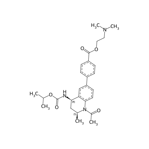 CC(=O)N1c2ccc(-c3ccc(C(=O)OCCN(C)C)cc3)cc2[C@H](NC(=O)OC(C)C)C[C@@H]1C